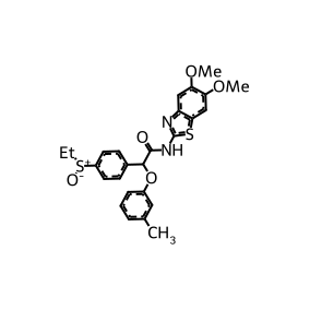 CC[S+]([O-])c1ccc(C(Oc2cccc(C)c2)C(=O)Nc2nc3cc(OC)c(OC)cc3s2)cc1